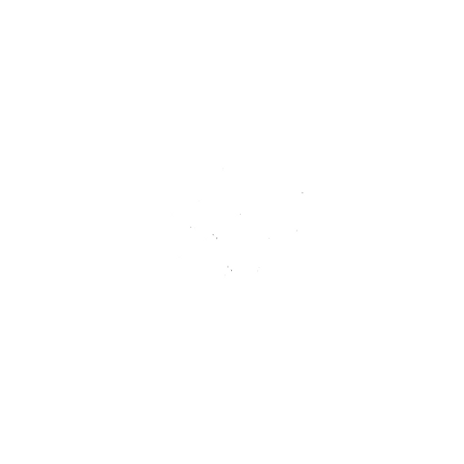 [2H]C([2H])([2H])n1nc(F)c2cccc(Br)c21